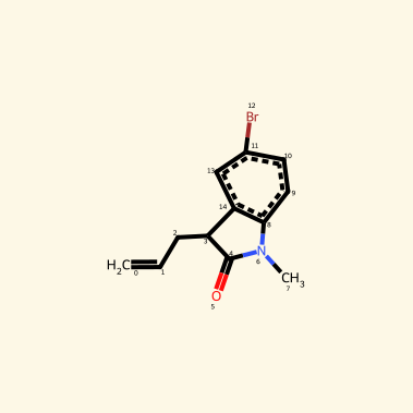 C=CCC1C(=O)N(C)c2ccc(Br)cc21